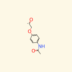 CC(=O)Nc1ccc(OC[C]=O)cc1